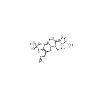 C[C@]12CCC3c4cc(OCC(F)(F)F)c(OS(N)(=O)=O)cc4CCC3C1CC[C@@H]2O